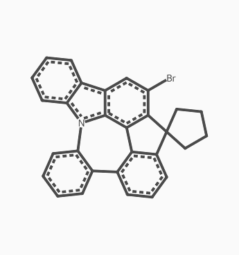 Brc1cc2c3ccccc3n3c2c2c1C1(CCCC1)c1cccc(c1-2)-c1ccccc1-3